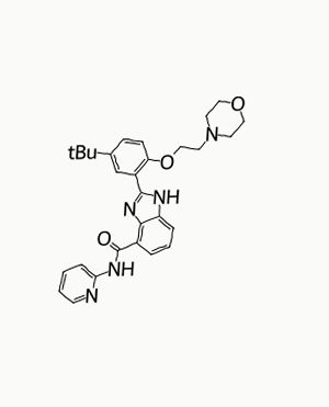 CC(C)(C)c1ccc(OCCN2CCOCC2)c(-c2nc3c(C(=O)Nc4ccccn4)cccc3[nH]2)c1